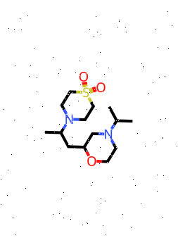 CC(C)N1CCOC(CC(C)N2CCS(=O)(=O)CC2)C1